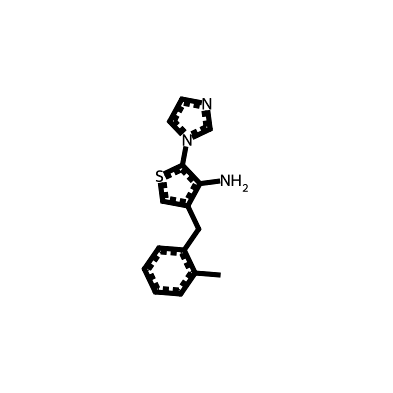 Cc1ccccc1Cc1csc(-n2ccnc2)c1N